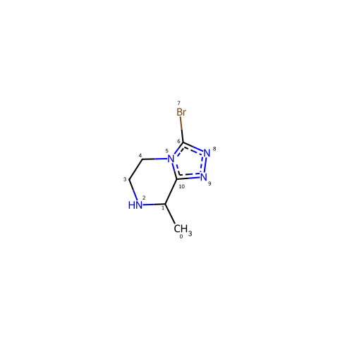 CC1NCCn2c(Br)nnc21